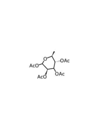 CC(=O)OC1O[C@@H](C)[C@H](OC(C)=O)C(OC(C)=O)[C@H]1OC(C)=O